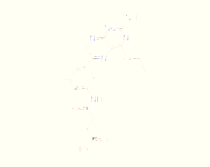 CCOc1nc(N)nc2ncc(-c3cccc(NC(=O)CCC(=O)O)c3)nc12